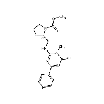 COC(=O)N1CCC[C@@H]1CNc1nc(-c2ccncc2)cc(=O)n1C